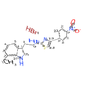 Br.Cc1cccc2c(CCNc3nc(-c4ccc([N+](=O)[O-])cc4)cs3)c[nH]c12